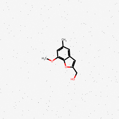 COc1cc(C)cc2cc(CO)oc12